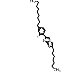 CCCCCCCCCc1ccc(-c2cn3cc(CCCCCCC)sc3n2)c(F)c1